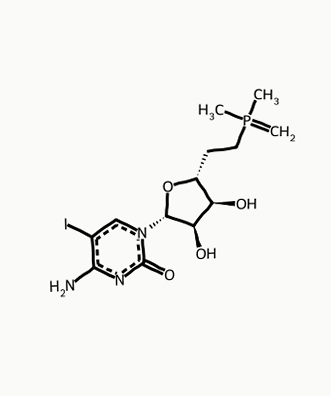 C=P(C)(C)CC[C@H]1O[C@@H](n2cc(I)c(N)nc2=O)[C@H](O)[C@@H]1O